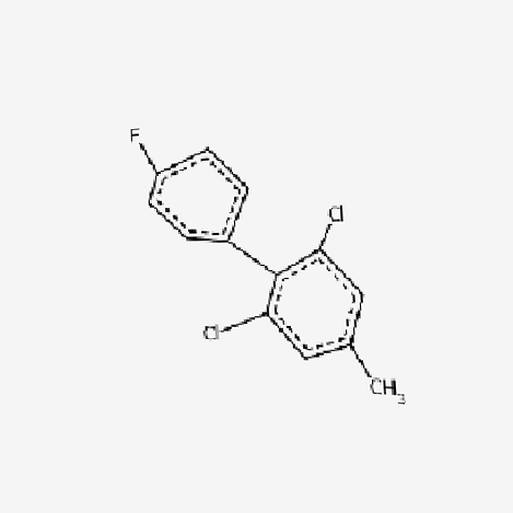 Cc1cc(Cl)c(-c2ccc(F)cc2)c(Cl)c1